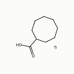 O=C(O)C1CCCCCCC1.[Ti]